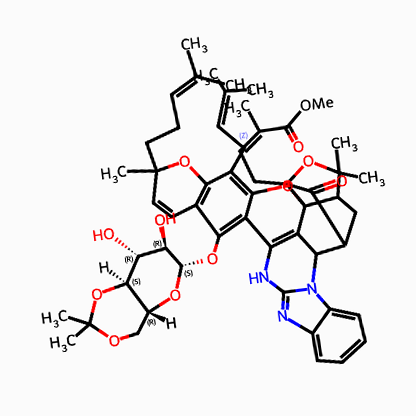 COC(=O)/C(C)=C\CC12OC(C)(C)C3CC(C1=O)C1C4=C(Nc5nc6ccccc6n51)c1c(O[C@@H]5O[C@@H]6COC(C)(C)O[C@H]6[C@H](O)[C@H]5O)c5c(c(CC=C(C)C)c1OC432)OC(C)(CCC=C(C)C)C=C5